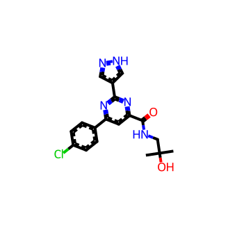 CC(C)(O)CNC(=O)c1cc(-c2ccc(Cl)cc2)nc(-c2cn[nH]c2)n1